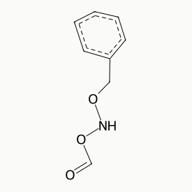 O=CONOCc1ccccc1